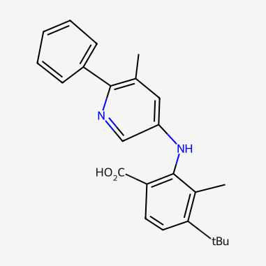 Cc1cc(Nc2c(C(=O)O)ccc(C(C)(C)C)c2C)cnc1-c1ccccc1